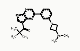 C[As](C)C1CN(c2cccc(-c3cnc4[nH]cc(C(=O)C(C)(C)C)c4n3)c2)C1